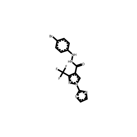 O=C(NNc1ccc(Br)cc1)c1cn(-c2nccs2)nc1C(F)(F)F